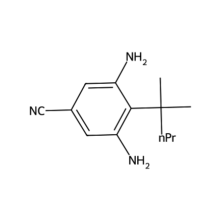 CCCC(C)(C)c1c(N)cc(C#N)cc1N